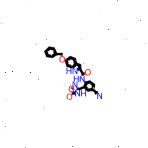 N#Cc1ccc(NC(=O)c2cc3ccc(OCc4ccccc4)cc3[nH]2)c(-c2noc(=O)[nH]2)c1